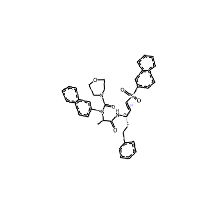 CC(C(=O)N[C@H](/C=C/S(=O)(=O)c1ccc2ccccc2c1)CCc1ccccc1)N(C(=O)N1CCOCC1)c1ccc2ccccc2c1